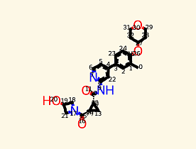 Cc1cc(-c2ccnc(NC(=O)[C@@H]3C[C@H]3C(=O)N3CC(O)C3)c2)ccc1OC1CCOCC1